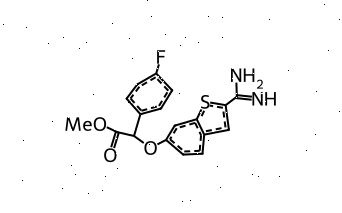 COC(=O)C(Oc1ccc2cc(C(=N)N)sc2c1)c1ccc(F)cc1